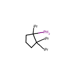 CC(C)C1(P)CCCC1(C(C)C)C(C)C